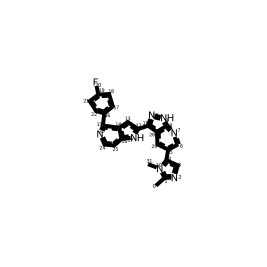 Cc1ncc(-c2cnc3[nH]nc(-c4cc5c(-c6ccc(F)cc6)nccc5[nH]4)c3c2)n1C